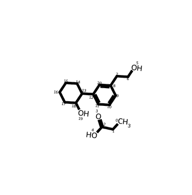 CCC(=O)O.OCCc1cccc(C2CCCCC2O)c1